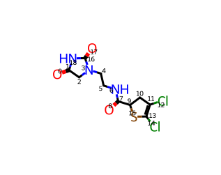 O=C1CN(CCNC(=O)C2CC(Cl)=C(Cl)S2)C(=O)N1